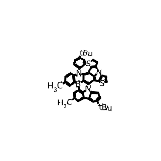 Cc1ccc2c(c1)B1c3c(c4c5sccc5n5c6ccsc6c(c3-n3c6ccc(C(C)(C)C)cc6c6cc(C)cc1c63)c45)N2c1ccc(C(C)(C)C)cc1